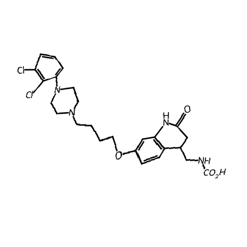 O=C(O)NCC1CC(=O)Nc2cc(OCCCCN3CCN(c4cccc(Cl)c4Cl)CC3)ccc21